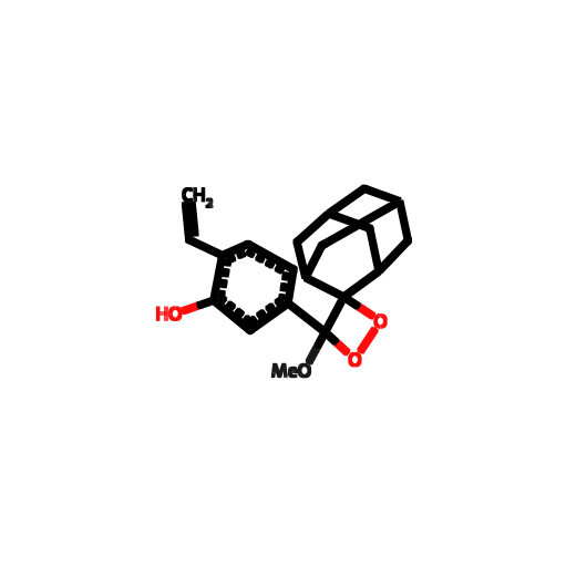 C=Cc1ccc(C2(OC)OOC23C2CC4CC(C2)CC3C4)cc1O